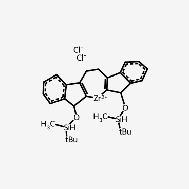 C[SiH](OC1[C]2=C(CCC3=[C]([Zr+2]2)C(O[SiH](C)C(C)(C)C)c2ccccc23)c2ccccc21)C(C)(C)C.[Cl-].[Cl-]